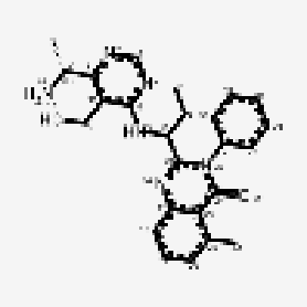 CCC(Nc1ncnc([C@@H](C)N)c1CO)c1nc2cccc(C)c2c(=O)n1-c1ccccc1